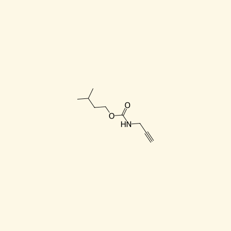 C#CCNC(=O)OCCC(C)C